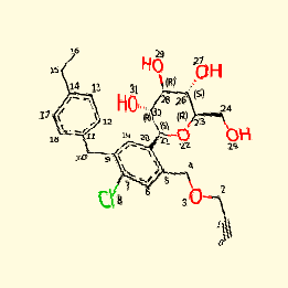 C#CCOCc1cc(Cl)c(Cc2ccc(CC)cc2)cc1[C@@H]1O[C@H](CO)[C@@H](O)[C@H](O)[C@H]1O